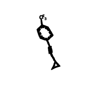 FC(F)(F)c1ccc(C#CC2CC2)cc1